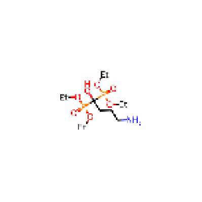 CCOP(=O)(OCC)C(O)(CCCN)P(=O)(OCC)OCC